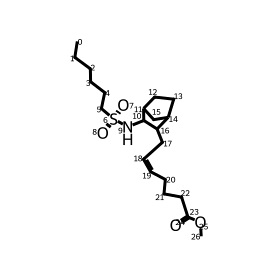 CCCCCCS(=O)(=O)NC1C2CCC(C2)C1C/C=C\CCCC(=O)OC